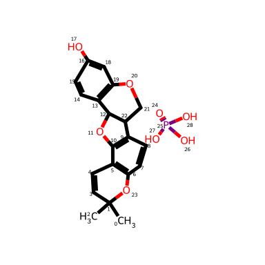 CC1(C)C=Cc2c(ccc3c2OC2c4ccc(O)cc4OCC32)O1.O=P(O)(O)O